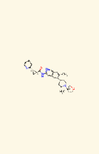 Cc1cc2cnc(NC(=O)[C@H]3C[C@@H]3c3ccccn3)cc2cc1C1CCN([C@]2(C)CCOC2)CC1